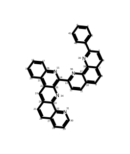 c1ccc(-c2ccc3ccc4ccc(-c5nc6ccccc6c6cc7ccc8cccnc8c7nc56)nc4c3n2)cc1